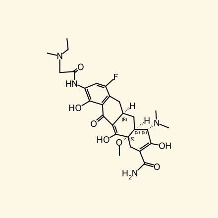 CCN(C)CC(=O)Nc1cc(F)c2c(c1O)C(=O)C1=C(O)[C@]3(OC)CC(C(N)=O)=C(O)[C@@H](N(C)C)[C@@H]3C[C@@H]1C2